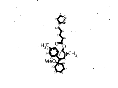 COC1(C(CN(C)COC(=O)CCCC[C@@H]2CCSS2)c2ccc(C)cc2)CCCCC1